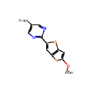 CCCCCCCCCCOc1cc2sc(-c3ncc(CCCCCC)cn3)cc2s1